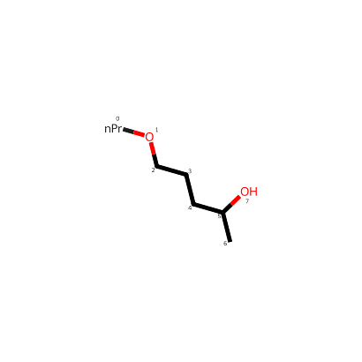 CCCOCCCC(C)O